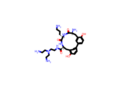 NCCC[C@@H]1NC(=O)[C@@H](N)Cc2cc(ccc2O)-c2ccc(O)c(c2)C[C@@H](C(=O)NCCN(CCN)CCN)NC1=O